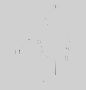 NCCc1c[nH]c2ccccc12.O=C=O